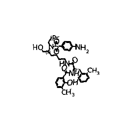 Cc1ccccc1C[C@H](NC(=O)c1cccc(C)c1O)C(=O)NCCCC[C@@H](CO)N(CC(C)C)S(=O)(=O)c1ccc(N)cc1